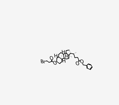 C[C@H](CCC(=O)OCc1ccccc1)[C@H]1CC[C@H]2[C@@H]3CC[C@@H]4C[C@@H](OC(=O)CCBr)CC[C@]4(C)[C@H]3CC[C@]12C